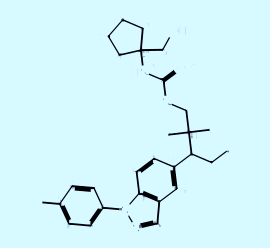 CC(C)CC(c1ccc2c(cnn2-c2ccc(F)cc2)c1)C(C)(C)CNC(=O)NC1(CO)CCCC1